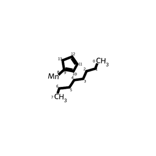 CCCCCCCC.[Mn][C]1=CC=CC1